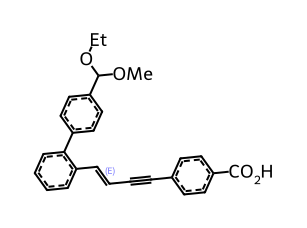 CCOC(OC)c1ccc(-c2ccccc2/C=C/C#Cc2ccc(C(=O)O)cc2)cc1